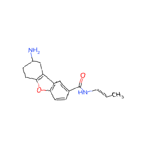 CC=CNC(=O)c1ccc2oc3c(c2c1)CC(N)CC3